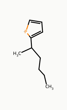 CCCCC(C)C1=CC=C[P]1